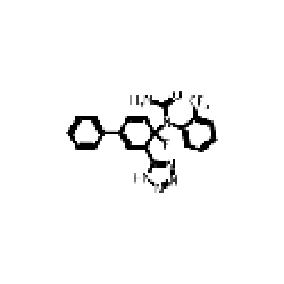 NC(=O)N(c1ccccc1C(F)(F)F)C1(F)C=CC(c2ccccc2)=CC1c1nnn[nH]1